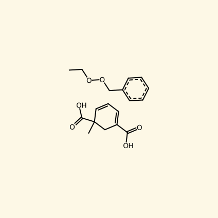 CC1(C(=O)O)C=CC=C(C(=O)O)C1.CCOOCc1ccccc1